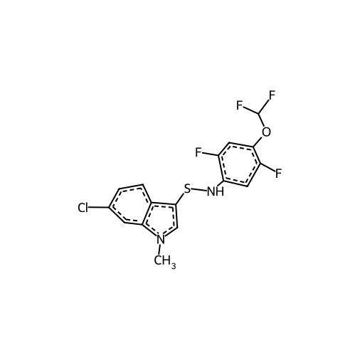 Cn1cc(SNc2cc(F)c(OC(F)F)cc2F)c2ccc(Cl)cc21